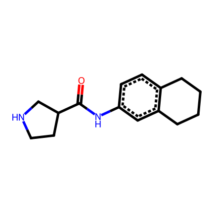 O=C(Nc1ccc2c(c1)CCCC2)C1CCNC1